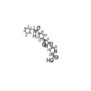 O=C(NCc1ccccc1)c1ccc([C@@H]2CC(Oc3ccc(C(=O)O)nc3)=NO2)cc1